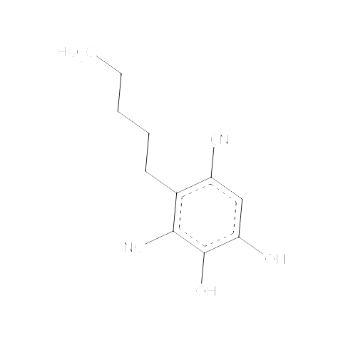 N#Cc1cc(O)c(O)c(C#N)c1CCCCC(=O)O